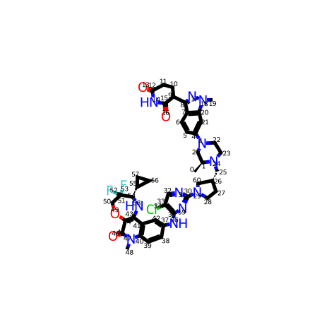 C[C@H]1CN(c2ccc3c(C4CCC(=O)NC4=O)nn(C)c3c2)CCN1C[C@@H]1CCN(c2ncc(Cl)c(Nc3ccc4c(c3)c3c(c(=O)n4C)OCC(F)(F)[C@H](C4CC4)N3)n2)C1